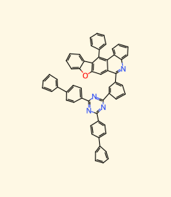 c1ccc(-c2ccc(-c3nc(-c4ccc(-c5ccccc5)cc4)nc(-c4cccc(-c5nc6ccccc6c6c(-c7ccccc7)c7c(cc56)oc5ccccc57)c4)n3)cc2)cc1